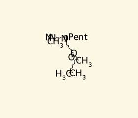 CCCCCN(CCCCCCCOC(=O)CC(C)CCCCC=C(C)C)CCCCn1ccnc1C